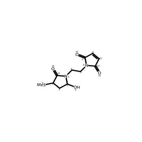 CSC1CC(O)N(CCN2C(=O)C=CC2=O)C1=O